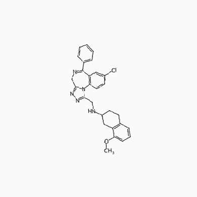 COc1cccc2c1CC(NCc1nnc3n1-c1ccc(Cl)cc1C(c1ccccc1)=NC3)CC2